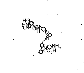 CN(CCCc1ccc(-c2ccccc2)c(N(C(=O)O)C2CCC(N)CC2)c1)C(=O)COC1CCC(CNC[C@H](O)c2ccc(O)c3[nH]c(=O)ccc23)CC1